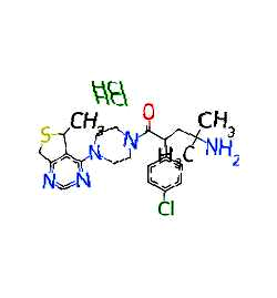 CC1SCc2ncnc(N3CCN(C(=O)C(CC(C)(C)N)c4ccc(Cl)cc4)CC3)c21.Cl.Cl